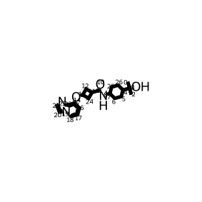 CC(C)(O)C1CCC(NC(=O)C2CC(Oc3cccn4ccnc34)C2)CC1